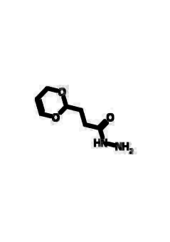 NNC(=O)CCC1OC=CCO1